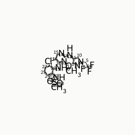 COc1nn(CC(F)(F)F)cc1Nc1ncc(Cl)c(Nc2ccccc2NS(C)(=O)=O)n1